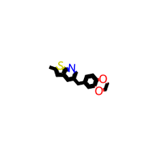 Cc1cc2cc(Cc3ccc4c(c3)OCCO4)cnc2s1